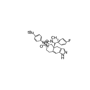 CN(C)C(c1ccc(F)cc1)[C@@]12Cc3cn[nH]c3C=C1CCN(S(=O)(=O)c1ccc(C(C)(C)C)cc1)C2